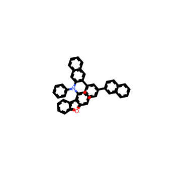 c1ccc(N(c2cc3ccccc3cc2-c2cccc(-c3ccc4ccccc4c3)c2)c2cccc3oc4ccccc4c23)cc1